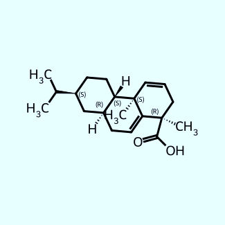 CC(C)[C@H]1CC[C@H]2[C@@H](CC=C3[C@](C)(C(=O)O)CC=C[C@@]32C)C1